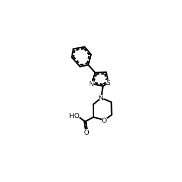 O=C(O)C1CN(c2nc(-c3ccccc3)cs2)CCO1